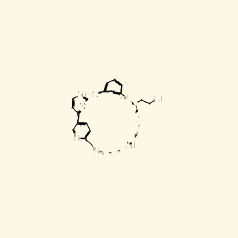 NCCN1CCCCNCCCNc2ccc(cn2)-c2ccnc(n2)Nc2cccc(c2)C1